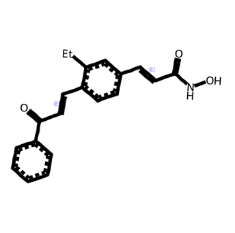 CCc1cc(/C=C/C(=O)NO)ccc1/C=C/C(=O)c1ccccc1